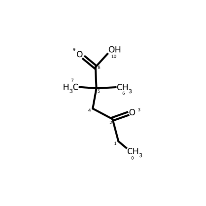 CCC(=O)CC(C)(C)C(=O)O